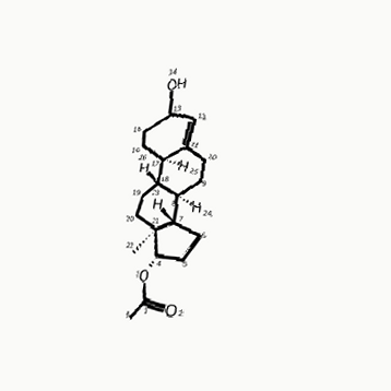 CC(=O)O[C@H]1CC[C@H]2[C@@H]3CCC4=CC(O)CC[C@@H]4[C@H]3CC[C@]12C